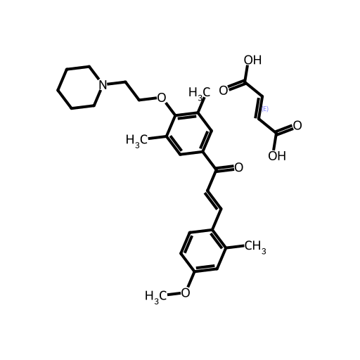 COc1ccc(C=CC(=O)c2cc(C)c(OCCN3CCCCC3)c(C)c2)c(C)c1.O=C(O)/C=C/C(=O)O